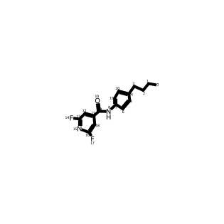 CCCCc1ccc(NC(=O)c2cc(F)nc(F)c2)cc1